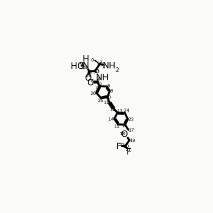 C[C@@H](N)[C@H](NC(=O)c1ccc(C#Cc2ccc(COCC(F)F)cc2)cc1)C(=O)NO